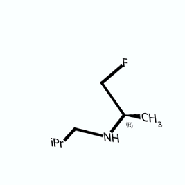 CC(C)CN[C@H](C)CF